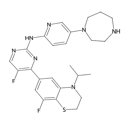 CC(C)N1CCSc2c(F)cc(-c3nc(Nc4ccc(N5CCCNCC5)cn4)ncc3F)cc21